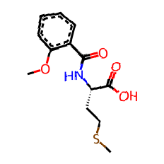 COc1ccccc1C(=O)N[C@@H](CCSC)C(=O)O